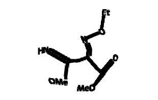 CCON=C(C(=N)OC)C(=O)OC